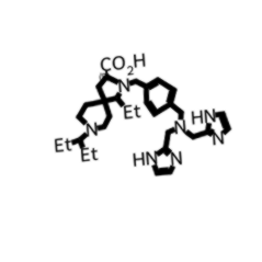 CCC(CC)N1CCC2(CC1)C[C@H](C(=O)O)N(Cc1ccc(CN(Cc3ncc[nH]3)Cc3ncc[nH]3)cc1)C2CC